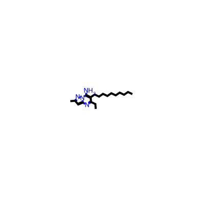 CCCCCCCCCCc1c(CC)nc2cc(C)nn2c1N